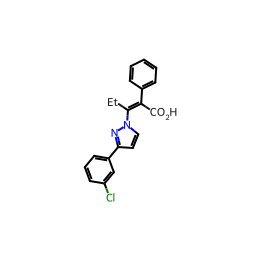 CC/C(=C(/C(=O)O)c1ccccc1)n1ccc(-c2cccc(Cl)c2)n1